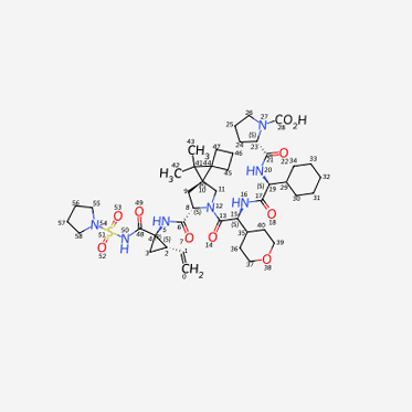 C=C[C@@H]1C[C@]1(NC(=O)[C@@H]1C[C@@]2(CN1C(=O)[C@@H](NC(=O)[C@@H](NC(=O)[C@@H]1CCCN1C(=O)O)C1CCCCC1)C1CCOCC1)C(C)(C)C21CCC1)C(=O)NS(=O)(=O)N1CCCC1